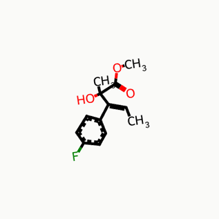 CC=C(c1ccc(F)cc1)C(C)(O)C(=O)OC